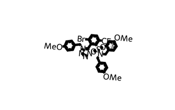 COc1ccc(CN(Cc2ccc(OC)cc2)S(=O)(=O)c2c(C(F)(F)F)ccc(Br)c2-c2nnnn2Cc2ccc(OC)cc2)cc1